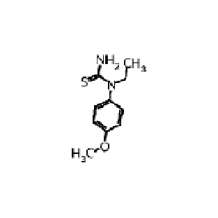 CCN(C(N)=S)c1ccc(OC)cc1